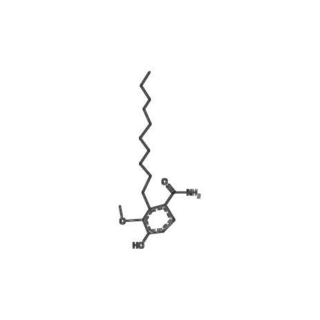 CCCCCCCCCCc1c(C(N)=O)ccc(O)c1OC